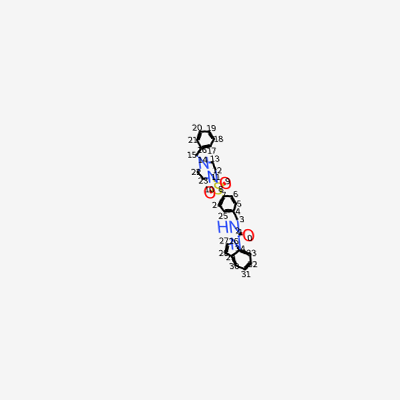 O=C(NCc1ccc(S(=O)(=O)N2CCN(Cc3ccccc3)CC2)cc1)n1ccc2ccccc21